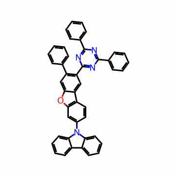 c1ccc(-c2nc(-c3ccccc3)nc(-c3cc4c(cc3-c3ccccc3)oc3cc(-n5c6ccccc6c6ccccc65)ccc34)n2)cc1